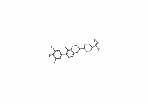 F/C=C(/F)C1CCC(C2CCc3c(ccc(-c4cc(F)c(F)c(F)c4)c3F)C2)CC1